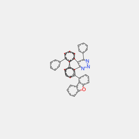 c1ccc(-c2ccccc2-c2cccc(-c3cccc4oc5ccccc5c34)c2-c2nnnc(-c3ccccc3)c2-c2ccccc2-c2ccccc2)cc1